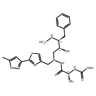 COC(=O)N[C@H](C(=O)NN(Cc1csc(-c2cc(C)on2)n1)C[C@H](O)[C@H](Cc1ccccc1)NC(=O)O)C(C)(C)C